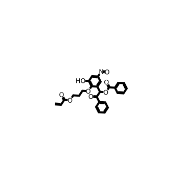 C=CC(=O)OCCCOc1c(O)cc(N=O)cc1C(OC(=O)c1ccccc1)C(=O)c1ccccc1